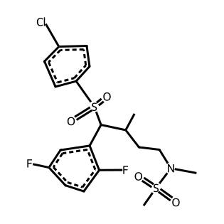 CC(CCN(C)S(C)(=O)=O)C(c1cc(F)ccc1F)S(=O)(=O)c1ccc(Cl)cc1